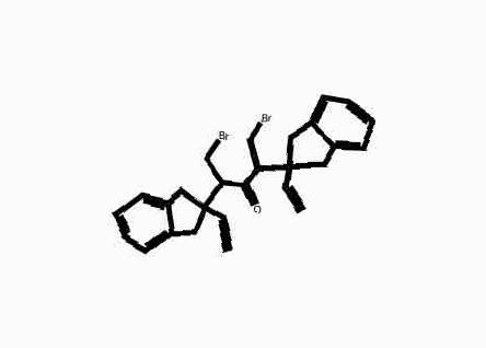 C=CC1(C(CBr)C(=O)C(CBr)C2(C=C)Cc3ccccc3C2)Cc2ccccc2C1